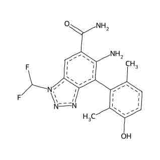 Cc1ccc(O)c(C)c1-c1c(N)c(C(N)=O)cc2c1nnn2C(F)F